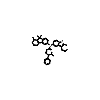 C=C(/C=C\C(c1ccccc1)C(C)C)N(c1ccc2c(c1)C1=C(C(C)CC=C1)C2(C)C)c1ccc2sc(C)c(/C=C\C)c2c1